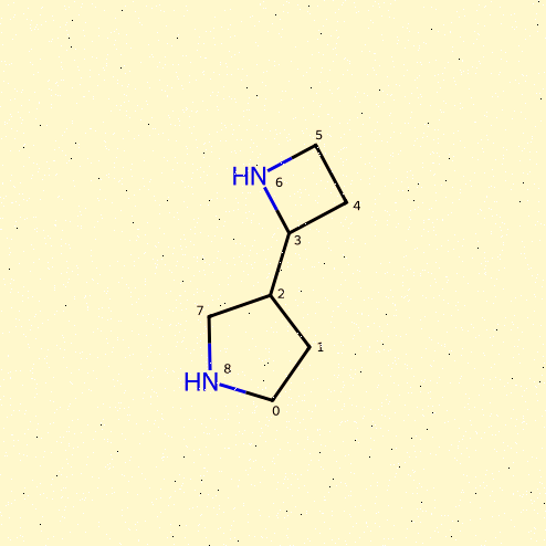 C1CC(C2CCN2)CN1